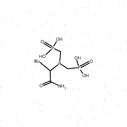 CCC(C)C(C(N)=O)N(CP(=O)(O)O)CP(=O)(O)O